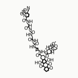 COc1cccc2c1C(=O)c1c(O)c3c(c(O)c1C2=O)CC(C(=O)NC12CC(NC(=O)CNC(=O)CNC(=O)CNC(=O)CCNC(=O)c4ccc(C#N)c(S(C)(=O)=O)n4)(C1)C2)C[C@@H]3O[C@H]1C[C@H]2[C@H](O[C@@H]3[C@@H](OC)OCCN32)[C@H](C)O1